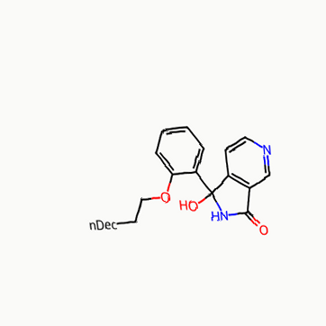 CCCCCCCCCCCCOc1ccccc1C1(O)NC(=O)c2cnccc21